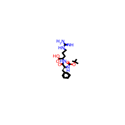 CC(C)(C)OC(=O)N[C@@H](Cc1ccccc1)C(=O)NC(CCCNC(=N)N)C(=O)O